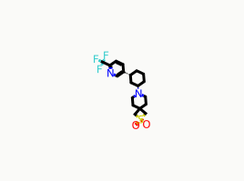 O=S1(=O)CC2(CCN([C@H]3CCC[C@@H](c4ccc(C(F)(F)F)nc4)C3)CC2)C1